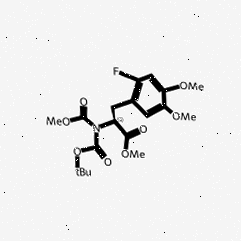 COC(=O)[C@H](Cc1cc(OC)c(OC)cc1F)N(C(=O)OC)C(=O)OC(C)(C)C